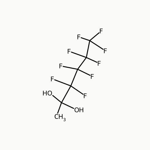 CC(O)(O)C(F)(F)C(F)(F)C(F)(F)C(F)(F)F